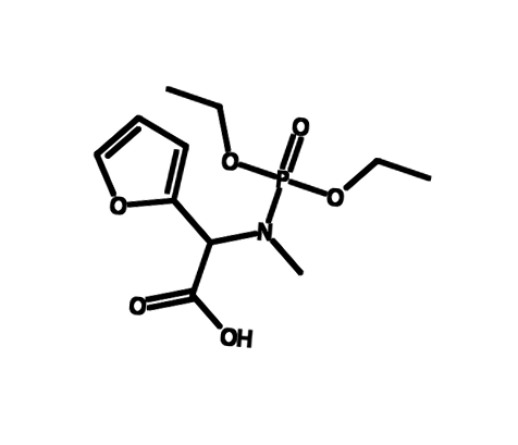 CCOP(=O)(OCC)N(C)C(C(=O)O)c1ccco1